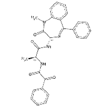 C[C@H](NC(=O)C(=O)c1ccccc1)C(=O)N[C@H]1N=C(c2ccccc2)c2ccccc2N(C)C1=O